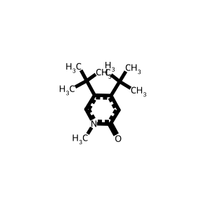 Cn1cc(C(C)(C)C)c(C(C)(C)C)cc1=O